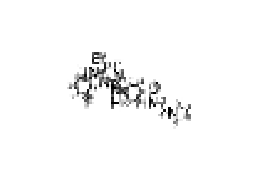 O=C(NCCN1CCCC1)c1ccc(Nc2ncc(Br)c(Nc3cccc(F)c3)n2)cc1